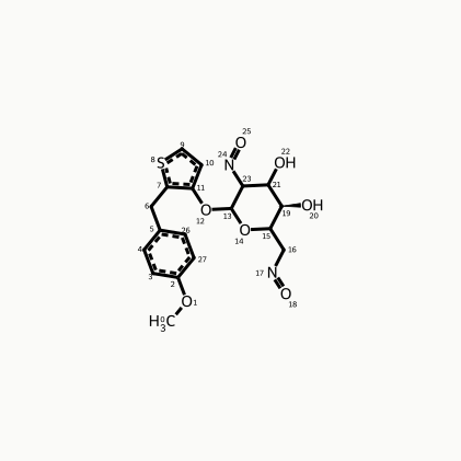 COc1ccc(Cc2sccc2OC2OC(CN=O)[C@H](O)C(O)C2N=O)cc1